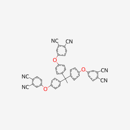 CC(c1ccc(Oc2ccc(C#N)c(C#N)c2)cc1)(c1ccc(Oc2ccc(C#N)c(C#N)c2)cc1)c1ccc(Oc2ccc(C#N)c(C#N)c2)cc1